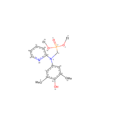 CCOP(=O)(CN(c1cc(OC)c(O)c(OC)c1)c1ccccn1)OCC